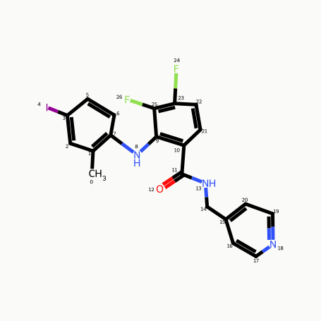 Cc1cc(I)ccc1Nc1c(C(=O)NCc2ccncc2)ccc(F)c1F